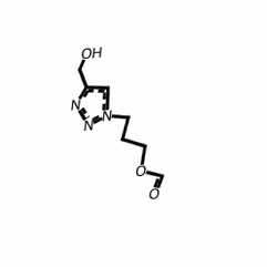 O=COCCCn1cc(CO)nn1